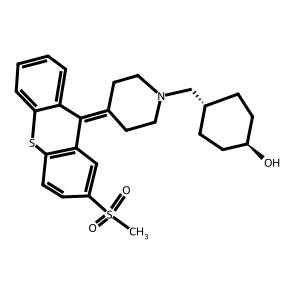 CS(=O)(=O)c1ccc2c(c1)C(=C1CCN(C[C@H]3CC[C@H](O)CC3)CC1)c1ccccc1S2